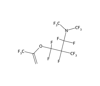 C=C(OC(F)(F)C(F)(C(F)(F)F)C(F)(F)N(C(F)(F)F)C(F)(F)F)C(F)(F)F